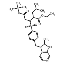 CCOC(=O)[C@H](CC(C)C)N(CC(=O)OC(C)(C)C)S(=O)(=O)c1ccc(CN2c3ccncc3NC2C)cc1